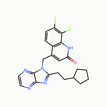 O=c1cc(Cn2c(CCC3CCCC3)nc3nccnc32)c2ccc(F)c(F)c2[nH]1